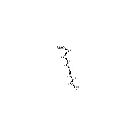 COOOOOOOOOO